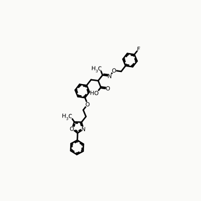 C/C(=N\OCc1ccc(F)cc1)C(Cc1cccc(OCCc2nc(-c3ccccc3)oc2C)c1)C(=O)O